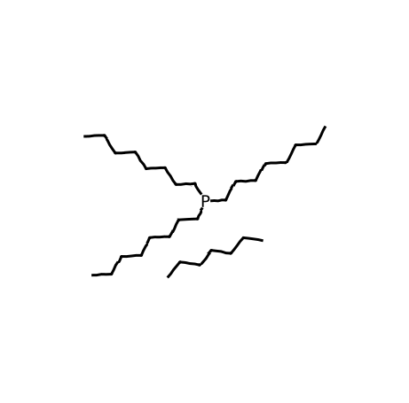 CCCCCCC.CCCCCCCCP(CCCCCCCC)CCCCCCCC